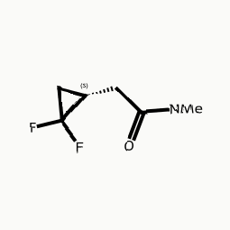 [CH2]NC(=O)C[C@H]1CC1(F)F